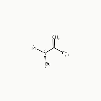 C=C(C)N(C(C)C)[C@@H](C)CC